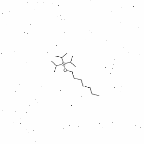 CCCCCCCO[Si](C(C)C)(C(C)C)C(C)C